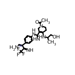 CC(=O)N1CCC(NC(C)CO)=C(C(=N)Nc2ccc(/C(=C/N)C(=N)C(F)(F)F)cc2)C1